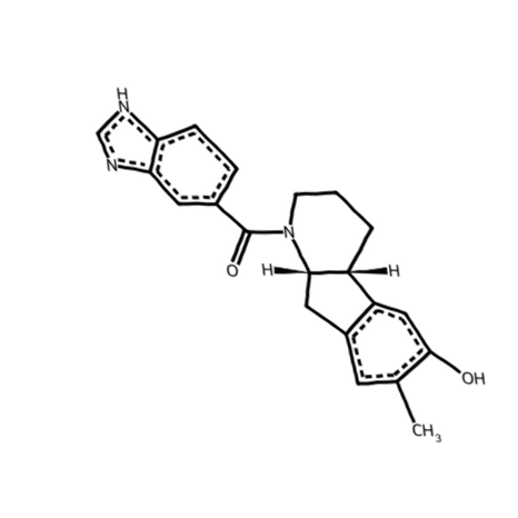 Cc1cc2c(cc1O)[C@H]1CCCN(C(=O)c3ccc4[nH]cnc4c3)[C@H]1C2